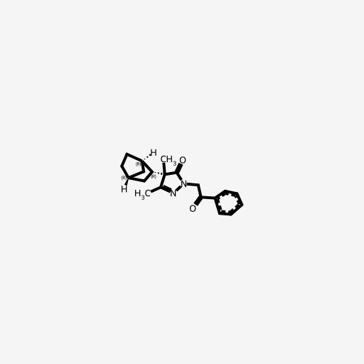 CC1=NN(CC(=O)c2ccccc2)C(=O)C1(C)[C@@H]1C[C@@H]2CC[C@@H]1C2